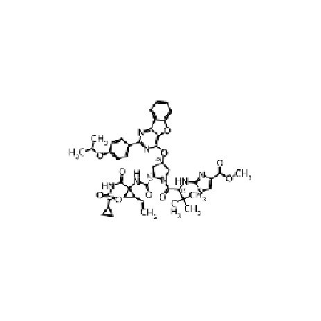 C=CC1CC1(NC(=O)[C@@H]1C[C@@H](Oc2nc(-c3ccc(OC(C)C)cc3)nc3c2oc2ccccc23)CN1C(=O)[C@@H](Nc1nc(C(=O)OC)cs1)C(C)(C)C)C(=O)NS(=O)(=O)C1CC1